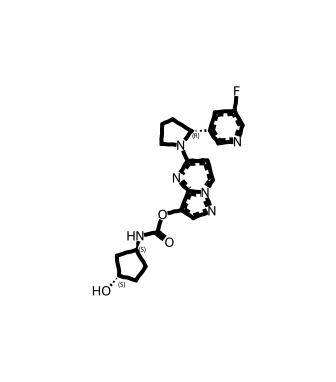 O=C(N[C@H]1CC[C@H](O)C1)Oc1cnn2ccc(N3CCC[C@@H]3c3cncc(F)c3)nc12